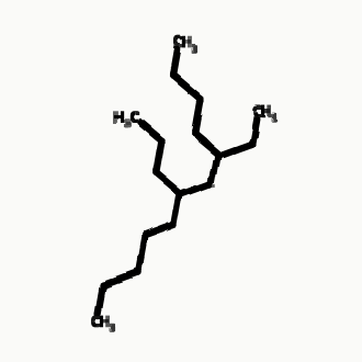 CCCCCC([CH]C(CC)CCCC)CCC